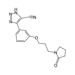 N#Cc1[nH]nnc1-c1cccc(OCCCN2CCCC2=O)c1